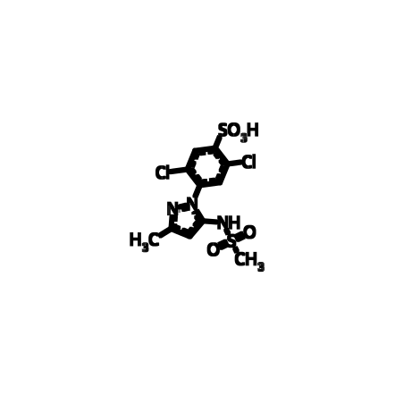 Cc1cc(NS(C)(=O)=O)n(-c2cc(Cl)c(S(=O)(=O)O)cc2Cl)n1